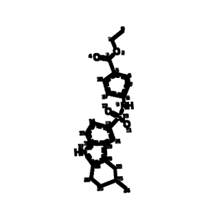 CCOC(=O)c1ccc(NS(=O)(=O)c2ccc3[nH]c4c(c3c2)CC(C)CC4)cc1